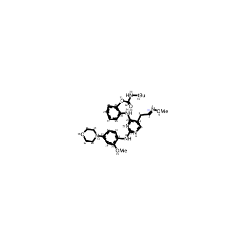 CO/N=C/Cc1cnc(Nc2ccc(N3CCOCC3)cc2OC)nc1Nc1ccccc1OC(=O)NC(C)(C)C